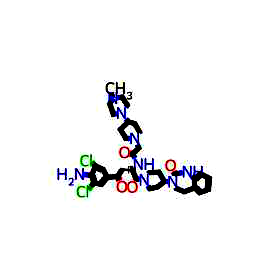 CN1CCN(C2CCN(CC(=O)N[C@H](CC(=O)c3cc(Cl)c(N)c(Cl)c3)C(=O)N3CCC(N4CCc5ccccc5NC4=O)CC3)CC2)CC1